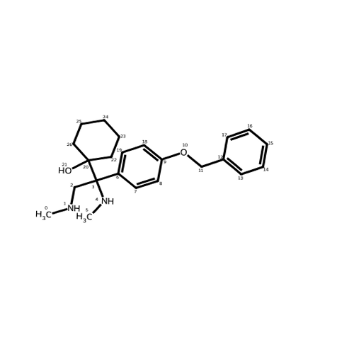 CNCC(NC)(c1ccc(OCc2ccccc2)cc1)C1(O)CCCCC1